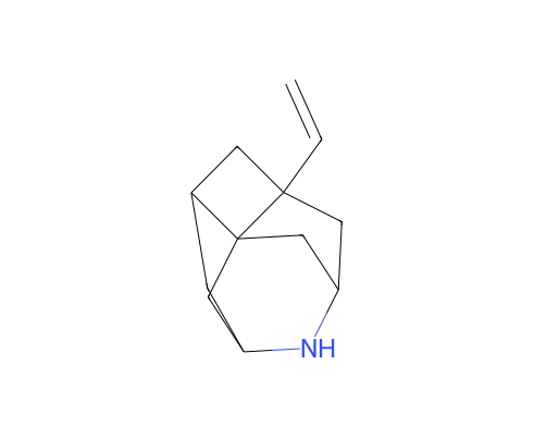 C=CC12CC3CC14CC(CC4C2)N3